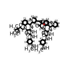 CC[C@](C)(CO)C(=O)CN1C(=O)[C@H](NC(=O)Nc2cccc(NC)c2)N=C(c2cc(C3CC3(CO)C(=O)CN3C(=O)[C@H](NC(=O)Nc4cccc(NC)c4)N=C(c4ccccn4)c4ccccc43)ccn2)c2ccccc21